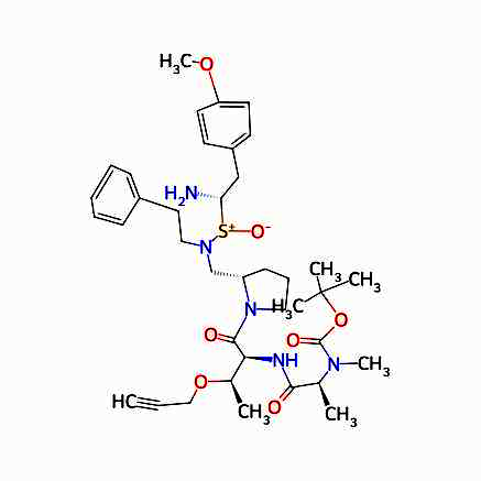 C#CCO[C@H](C)[C@H](NC(=O)[C@H](C)N(C)C(=O)OC(C)(C)C)C(=O)N1CCC[C@H]1CN(CCc1ccccc1)[S+]([O-])[C@H](N)Cc1ccc(OC)cc1